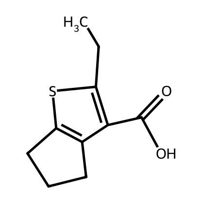 CCc1sc2c(c1C(=O)O)CCC2